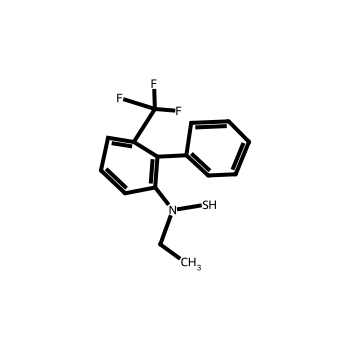 CCN(S)c1cccc(C(F)(F)F)c1-c1ccccc1